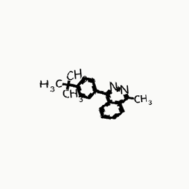 Cc1nnc(-c2ccc(C(C)(C)C)cc2)c2ccccc12